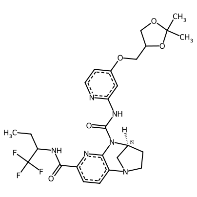 CCC(NC(=O)c1ccc2c(n1)N(C(=O)Nc1cc(OCC3COC(C)(C)O3)ccn1)[C@H]1CCN2C1)C(F)(F)F